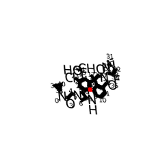 CN(C(=O)CN1CC(Nc2ccc3c(c2F)C(C)(c2cccc(Cl)c2F)CN(c2nn(C)cc2F)C3=O)C1)C1CC1.O=CO